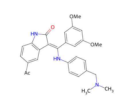 COc1cc(OC)cc(C(Nc2ccc(CN(C)C)cc2)=C2C(=O)Nc3ccc(C(C)=O)cc32)c1